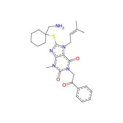 CC(C)=CCn1c(SC2(CN)CCCCC2)nc2c1c(=O)n(CC(=O)c1ccccc1)c(=O)n2C